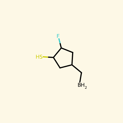 BCC1CC(F)C(S)C1